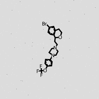 FC(F)(F)Oc1ccc(N2CCN(CCC3OCCc4cc(Br)ccc43)CC2)cc1